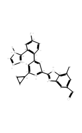 Cc1cc(C=O)cc2nc(-c3cc(-c4ccc(F)cc4-c4nncn4C)cc(C4CC4)n3)oc12